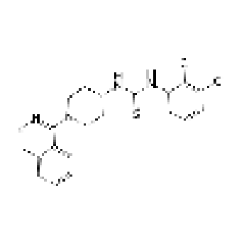 S=C(Nc1cccc(Cl)c1Cl)NC1CCN(c2nccc3ccccc23)CC1